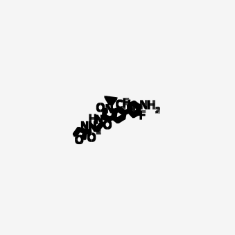 Cc1c(-c2cc(F)c(N)cc2F)ccc2c3oc(CNC(=O)C4(N)CCOC4)nc3c(=O)n(C3CC3)c12